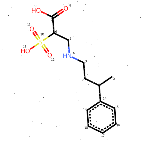 CC(CCNCC(C(=O)O)S(=O)(=O)O)c1ccccc1